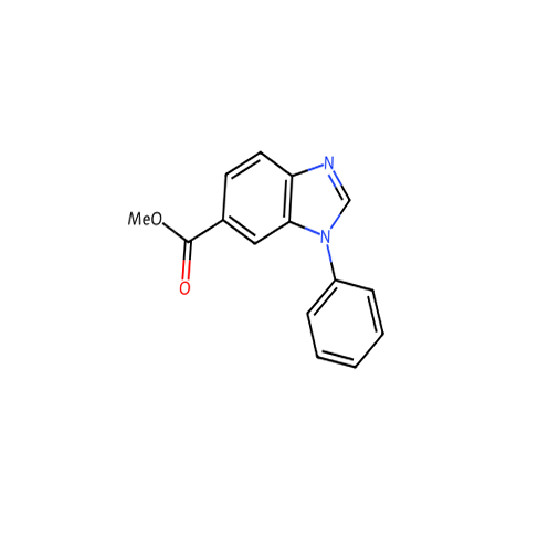 COC(=O)c1ccc2ncn(-c3ccccc3)c2c1